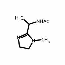 CC(=O)NC(C)C1=NCCN1C